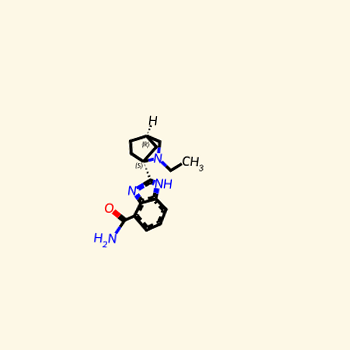 CCN1C[C@@H]2CC[C@@]1(c1nc3c(C(N)=O)cccc3[nH]1)C2